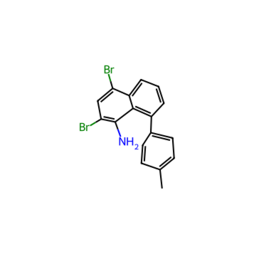 Cc1ccc(-c2cccc3c(Br)cc(Br)c(N)c23)cc1